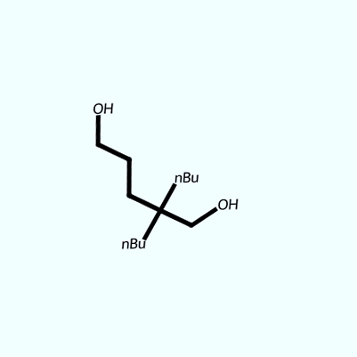 CCCCC(CO)(CCCC)CCCO